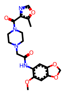 COc1cc2c(cc1NC(=O)CN1CCN(C(=O)c3ncoc3C)CC1)OCO2